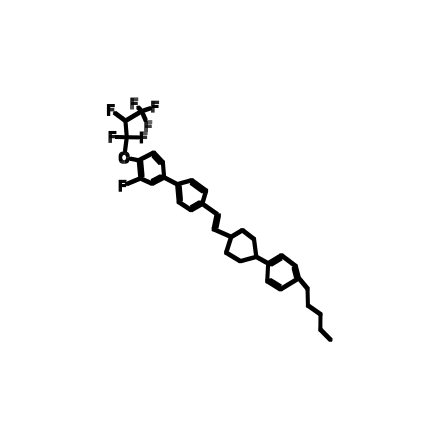 CCCCCc1ccc(C2CCC(C=Cc3ccc(-c4ccc(OC(F)(F)C(F)C(F)(F)F)c(F)c4)cc3)CC2)cc1